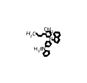 C=C\C=C/C=C\C=C(/C=C\C=C)N(c1ccc(N(C)c2ccccc2)cc1)c1cccc2ccccc12